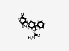 NC(=O)OCC1(c2ccccc2)CCN(c2cc(Cl)nnc2N)CC1